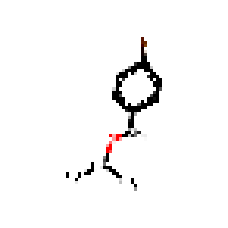 C[SiH](C)O[SiH2]c1ccc(Br)cc1